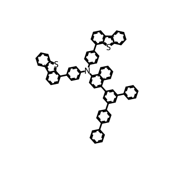 c1ccc(-c2ccc(-c3cc(-c4ccccc4)cc(-c4ccc(N(c5ccc(-c6cccc7c6sc6ccccc67)cc5)c5ccc(-c6cccc7c6sc6ccccc67)cc5)c5ccccc45)c3)cc2)cc1